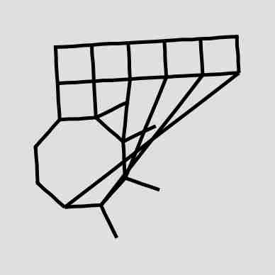 CC12C3CCC4C5CC6C7C8C9CC3C91C81C2(C)C2(C)C4(C)C56C721